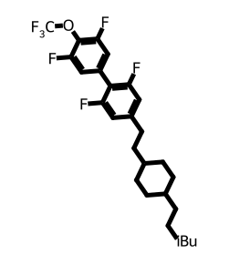 CCC(C)CCC1CCC(CCc2cc(F)c(-c3cc(F)c(OC(F)(F)F)c(F)c3)c(F)c2)CC1